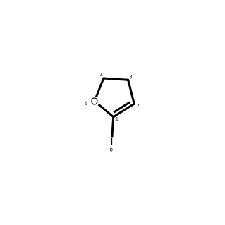 IC1=CCCO1